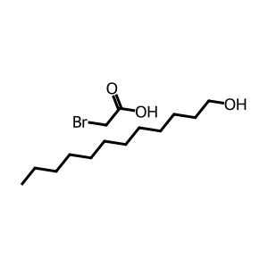 CCCCCCCCCCCCO.O=C(O)CBr